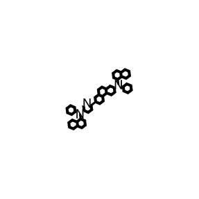 c1ccc(N(c2ccc(-c3ccc4c(ccc5cc(N(c6ccccc6)c6cccc7ccccc67)ccc54)c3)nc2)c2cccc3ccccc23)cc1